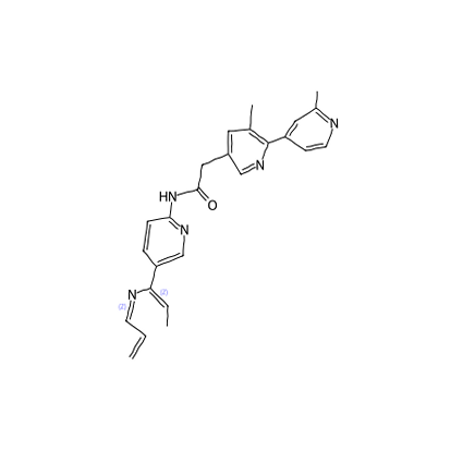 C=C/C=N\C(=C/C)c1ccc(NC(=O)Cc2cnc(-c3ccnc(C)c3)c(C)c2)nc1